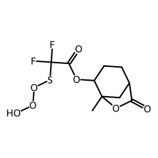 CC12CC(CCC1OC(=O)C(F)(F)SOOO)C(=O)O2